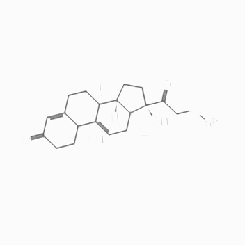 CCCOCC(=O)[C@@]1(O)CC[C@H]2[C@@H]3CCC4=CC(=O)CC[C@]4(C)C3=CC[C@@]21C